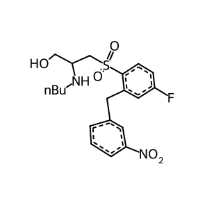 CCCCNC(CO)CS(=O)(=O)c1ccc(F)cc1Cc1cccc([N+](=O)[O-])c1